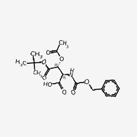 CC(=O)O[C@@H](C(=O)OC(C)(C)C)[C@@H](NC(=O)OCc1ccccc1)C(=O)O